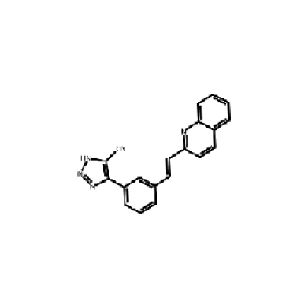 N#Cc1[nH]nnc1-c1cccc(/C=C/c2ccc3ccccc3n2)c1